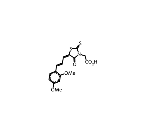 COc1ccc(C=CC=C2SC(=S)N(CC(=O)O)C2=O)c(OC)c1